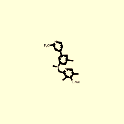 COc1c(C)cnc(CN(C)c2cc(C)cc(-c3ccnc(C(F)(F)F)c3)c2)c1C